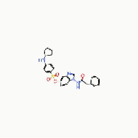 O=C(Cc1ccccc1)Nn1cnc2cc(OS(=O)(=O)c3ccc(NC4CCCC4)cc3)ccc21